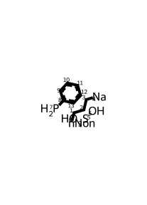 CCCCCCCCCCC[CH2][Na].O=S(=O)(O)O.Pc1ccccc1